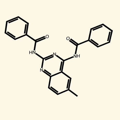 Cc1ccc2nc(NC(=O)c3ccccc3)nc(NC(=O)c3ccccc3)c2c1